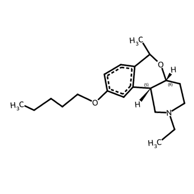 CCCCCOc1ccc2c(c1)[C@H]1CN(CC)CC[C@H]1OC2C